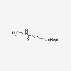 C=CCNC(=S)CCCCCCCCCCCCC